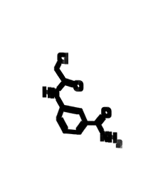 NC(=O)c1cccc(NC(=O)CCl)c1